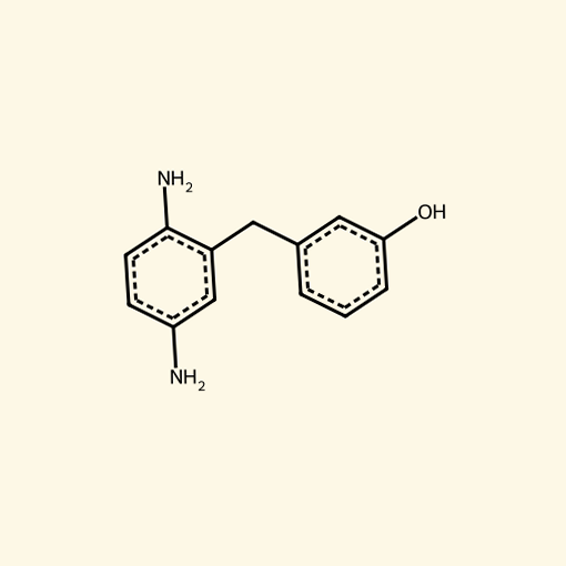 Nc1ccc(N)c(Cc2cccc(O)c2)c1